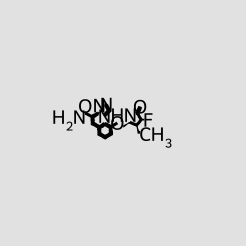 CC[C@@H]1[C@H](F)C(=O)N[C@@H]1COc1cccc2cc(C(N)=O)c3nncn3c12